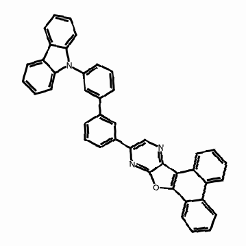 c1cc(-c2cccc(-n3c4ccccc4c4ccccc43)c2)cc(-c2cnc3c(n2)oc2c4ccccc4c4ccccc4c32)c1